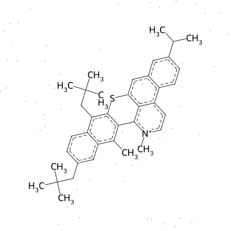 Cc1c2c(c(CC(C)(C)C)c3ccc(CC(C)(C)C)cc13)Sc1cc3cc(C(C)C)ccc3c3cc[n+](C)c-2c13